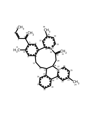 C=C(/C=C\C)c1cc2c(cc1C)CCC1c3ccccc3-c3cc(C)cc[n+]3C1CC(=C)[n+]1ccc(C)cc1-2